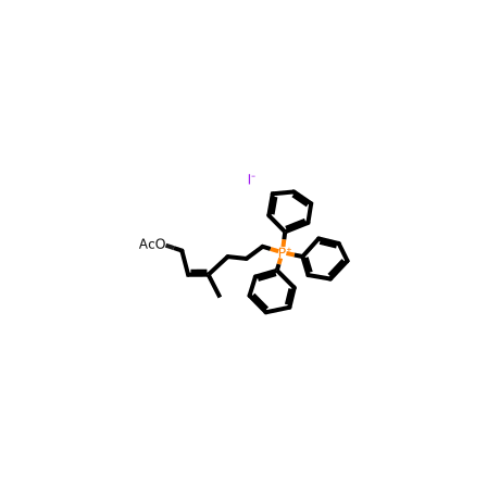 CC(=O)OC/C=C(/C)CCC[P+](c1ccccc1)(c1ccccc1)c1ccccc1.[I-]